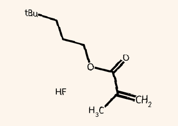 C=C(C)C(=O)OCCCC(C)(C)C.F